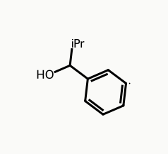 CC(C)C(O)c1c[c]ccc1